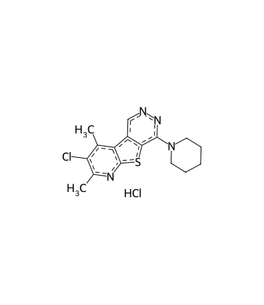 Cc1nc2sc3c(N4CCCCC4)nncc3c2c(C)c1Cl.Cl